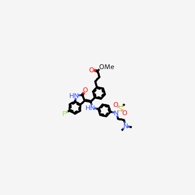 COC(=O)CCc1cccc(C(Nc2ccc(N(CCN(C)C)S(C)(=O)=O)cc2)=C2C(=O)Nc3cc(F)ccc32)c1